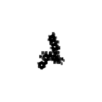 CC(C)C(NC(=O)CC1CCOCC1)C(=O)N1C[C@H]2[C@@H]([C@H]1C(=O)NC(C#N)C[C@@H]1Oc3ccc(F)cc3NC1=O)C2(C)C